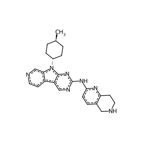 C[C@H]1CC[C@H](n2c3cnccc3c3cnc(Nc4ccc5c(n4)CCNC5)nc32)CC1